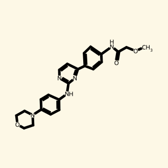 COCC(=O)Nc1ccc(-c2ccnc(Nc3ccc(N4CCOCC4)cc3)n2)cc1